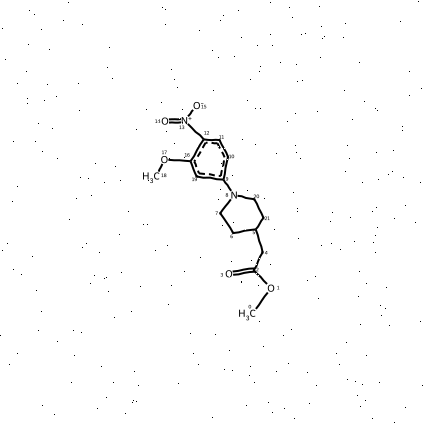 COC(=O)CC1CCN(c2ccc([N+](=O)[O-])c(OC)c2)CC1